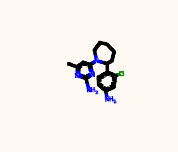 Cc1cc(N2CCCCCC2c2ccc(N)cc2Cl)nc(N)n1